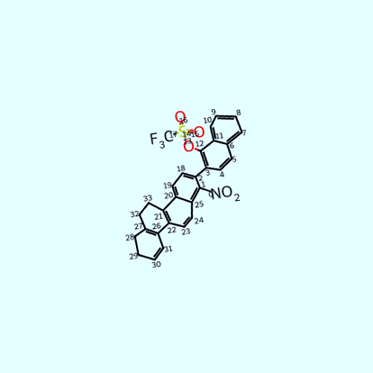 O=[N+]([O-])c1c(-c2ccc3ccccc3c2OS(=O)(=O)C(F)(F)F)ccc2c3c(ccc12)C1=C(CCC=C1)CC3